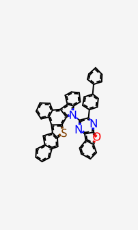 c1ccc(-c2ccc(-c3nc4oc5ccccc5c4nc3-n3c4ccccc4c4c5ccccc5c5c6cc7ccccc7cc6sc5c43)cc2)cc1